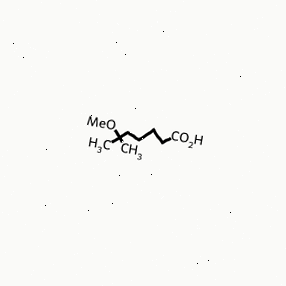 COC(C)(C)CCCCC(=O)O